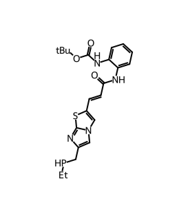 CCPCc1cn2cc(/C=C/C(=O)Nc3ccccc3NC(=O)OC(C)(C)C)sc2n1